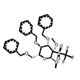 CO[C@H]1O[C@H](COCc2ccccc2)[C@@H](OCc2ccccc2)[C@H](OCc2ccccc2)[C@@]1(OC)S(=O)(=O)C(F)(F)F